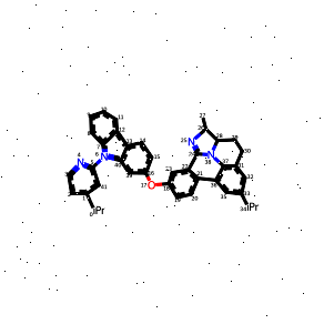 CC(C)c1ccnc(-n2c3ccccc3c3ccc(Oc4ccc5c(c4)C4=NC(C)C6CCc7cc(C(C)C)cc-5c7N46)cc32)c1